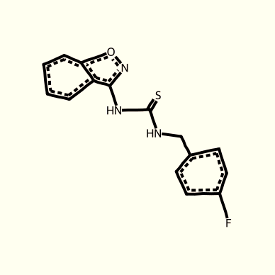 Fc1ccc(CNC(=S)Nc2noc3ccccc23)cc1